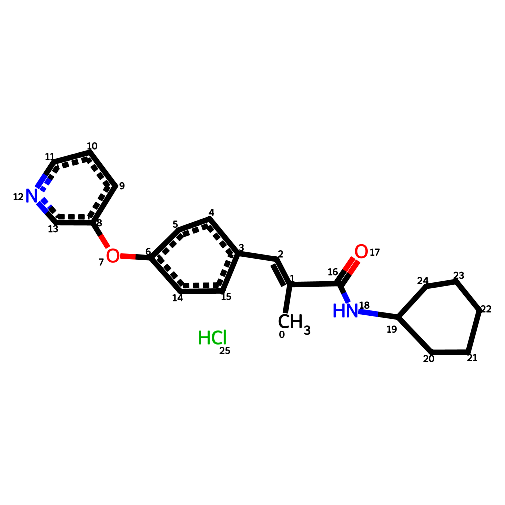 C/C(=C\c1ccc(Oc2cccnc2)cc1)C(=O)NC1CCCCC1.Cl